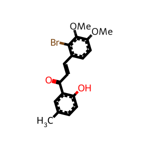 COc1ccc(/C=C/C(=O)c2cc(C)ccc2O)c(Br)c1OC